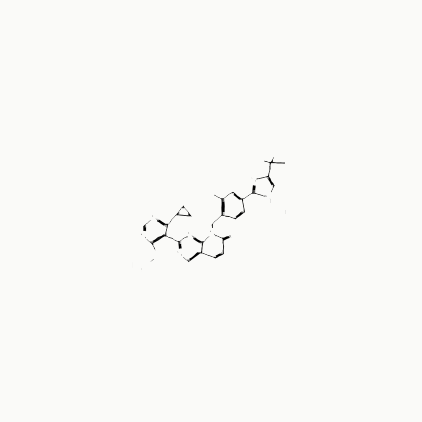 COc1ncnc(C2CC2)c1-c1ncc2ccc(=O)n(Cc3ccc(-c4nc(C(F)(F)F)cn4C)cc3F)c2n1